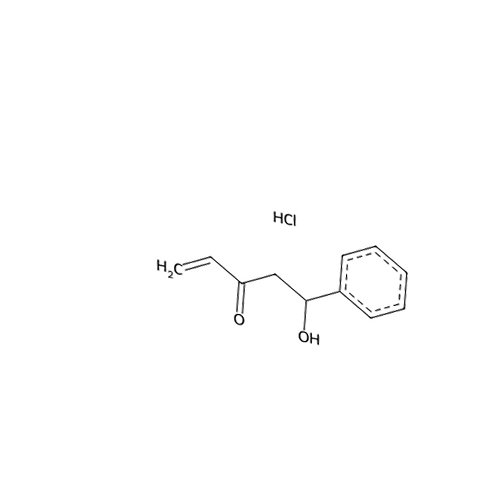 C=CC(=O)CC(O)c1ccccc1.Cl